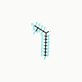 [CH2]C(C(F)(F)C(F)(F)C(F)(F)C(F)(F)C(F)(F)C(F)(F)C(F)(F)F)C(F)(F)C(F)(F)C(F)(C(F)(F)F)C(F)(F)F